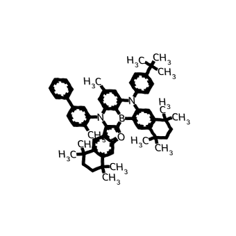 Cc1cc2c3c(c1)N(c1cc(-c4ccccc4)ccc1C)c1c(oc4cc5c(cc14)C(C)(C)CCC5(C)C)B3c1cc3c(cc1N2c1ccc(C(C)(C)C)cc1)C(C)(C)CCC3(C)C